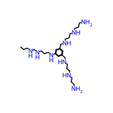 CCCNCNCCCNc1cc(CNCCCNCCCN)cc(CNCCCNCCCN)c1